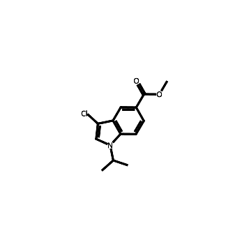 COC(=O)c1ccc2c(c1)c(Cl)cn2C(C)C